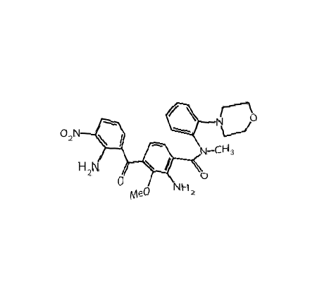 COc1c(C(=O)c2cccc([N+](=O)[O-])c2N)ccc(C(=O)N(C)c2ccccc2N2CCOCC2)c1N